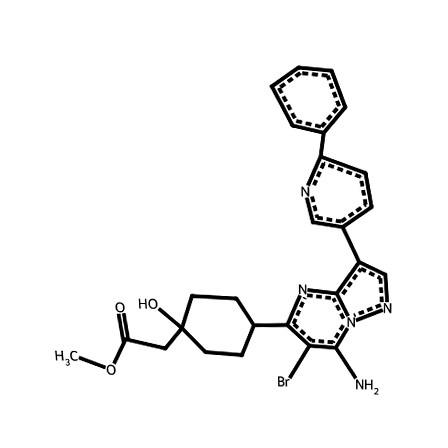 COC(=O)CC1(O)CCC(c2nc3c(-c4ccc(-c5ccccc5)nc4)cnn3c(N)c2Br)CC1